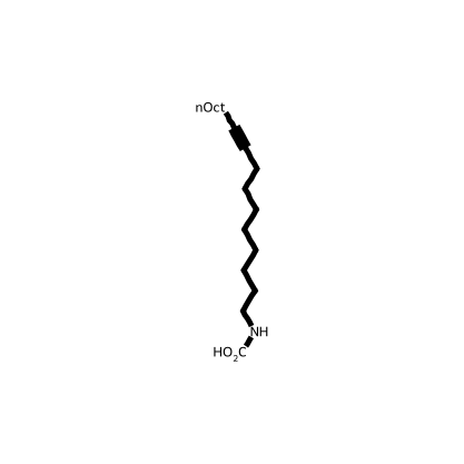 CCCCCCCCC#CCCCCCCCCNC(=O)O